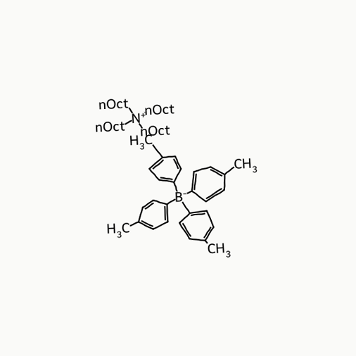 CCCCCCCC[N+](CCCCCCCC)(CCCCCCCC)CCCCCCCC.Cc1ccc([B-](c2ccc(C)cc2)(c2ccc(C)cc2)c2ccc(C)cc2)cc1